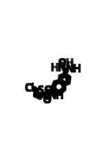 N=C(NO)c1ccc2c(c1)CC1CCC(C2)C1NS(=O)(=O)c1ccc(Cl)s1